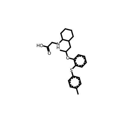 Cc1ccc(Sc2ccccc2OC(C)CC2CCCCC2NCC(=O)O)cc1